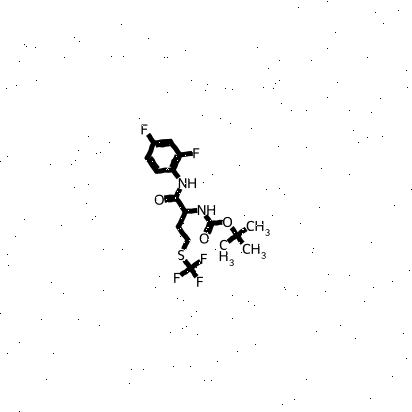 CC(C)(C)OC(=O)NC(CCSC(F)(F)F)C(=O)Nc1ccc(F)cc1F